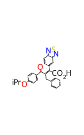 CC(C)Oc1ccc(C(=O)/C(Cc2ccccc2)=C(/C(=O)O)c2ccc3nsnc3c2)cc1